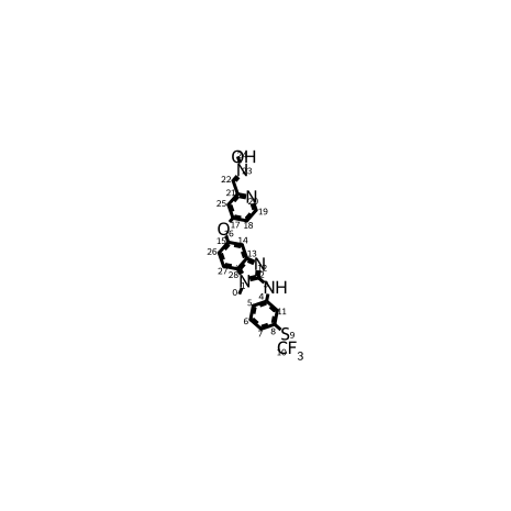 Cn1c(Nc2cccc(SC(F)(F)F)c2)nc2cc(Oc3ccnc(/C=N/O)c3)ccc21